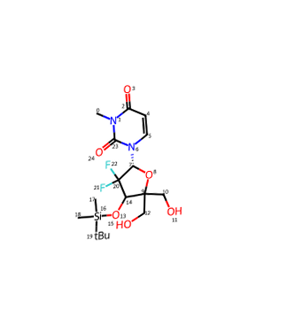 Cn1c(=O)ccn([C@@H]2OC(CO)(CO)C(O[Si](C)(C)C(C)(C)C)C2(F)F)c1=O